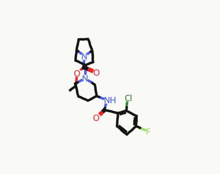 CCOC(=O)N1C2CCC1CC(N1CCCC(NC(=O)c3ccc(F)cc3Cl)C1)C2